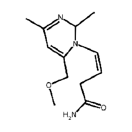 COCC1=CC(C)=NC(C)N1/C=C\CC(N)=O